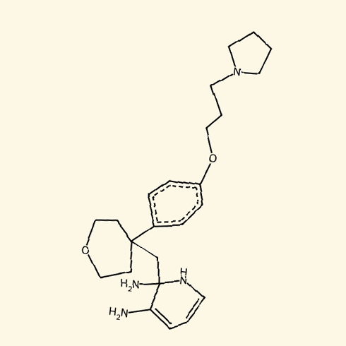 NC1=CC=CNC1(N)CC1(c2ccc(OCCCN3CCCC3)cc2)CCOCC1